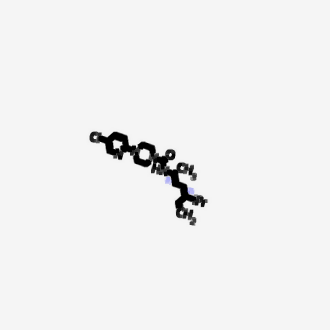 C=C/C(=C\C=C(/C)NC(=O)N1CCN(c2ccc(Cl)cn2)CC1)C(C)C